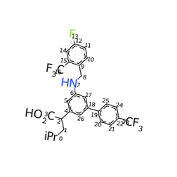 CC(C)CC(C(=O)O)c1cc(NCc2ccc(F)cc2C(F)(F)F)cc(-c2ccc(C(F)(F)F)cc2)c1